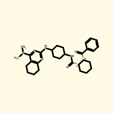 CN(C)c1nc(NC2CCC(NC(=O)[C@H]3CCCC[C@H]3C(=O)c3ccccc3)CC2)nc2c1CCCC2